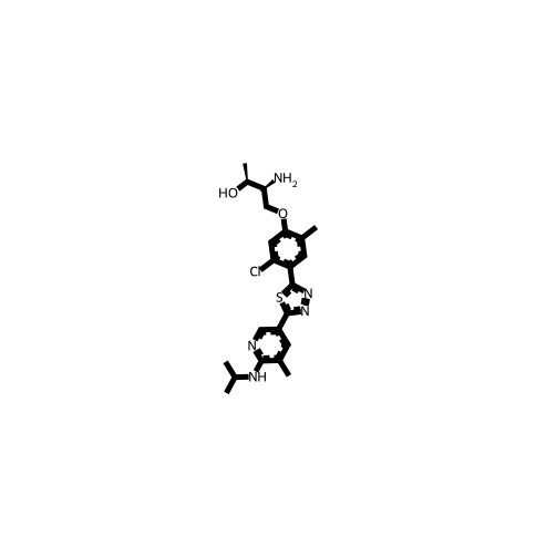 Cc1cc(-c2nnc(-c3cnc(NC(C)C)c(C)c3)s2)c(Cl)cc1OC[C@H](N)[C@H](C)O